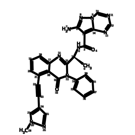 C[C@H](NC(=O)c1c(N)nn2cncnc12)c1nc2cccc(C#Cc3cnn(C)c3)c2c(=O)n1-c1ccccc1